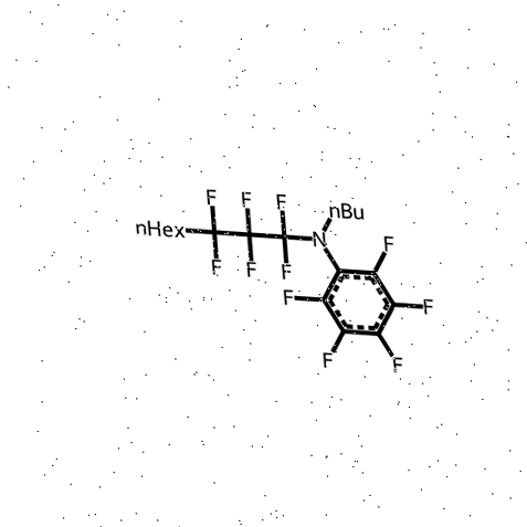 CCCCCCC(F)(F)C(F)(F)C(F)(F)N(CCCC)c1c(F)c(F)c(F)c(F)c1F